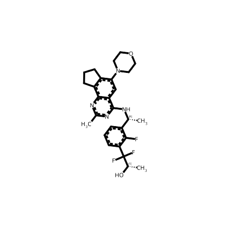 Cc1nc(N[C@H](C)c2cccc(C(F)(F)[C@H](C)O)c2F)c2cc(N3CCOCC3)c3c(c2n1)CCC3